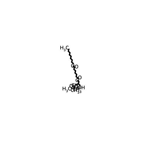 CCCCCCCCCCOC(=O)CCCCCC(=O)OCC(CO)CO[Si](C)(C)C(C)(C)C